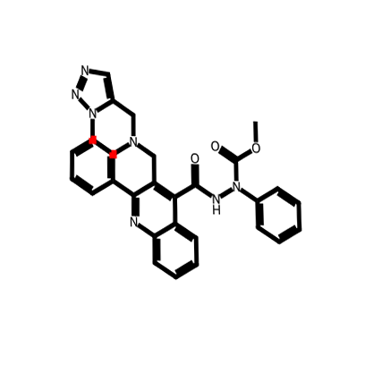 COC(=O)N(NC(=O)c1c(CN2CCn3nncc3C2)c(-c2ccccc2)nc2ccccc12)c1ccccc1